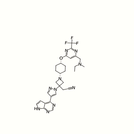 CCN(C)Cc1cc(O[C@H]2CC[C@@H](N3CC(CC#N)(n4cc(-c5ncnc6[nH]ccc56)cn4)C3)CC2)nc(C(F)(F)F)n1